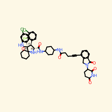 O=C1CCC(N2Cc3c(C#CCCC(=O)NC4CCC(NC(=O)[C@@H]5NC6(CCCCC6)[C@@]6(C(=O)Nc7cc(Cl)ccc76)[C@H]5c5cccc(Cl)c5F)CC4)cccc3C2=O)C(=O)N1